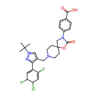 CC(C)(C)n1cc(CN2CCC3(CC2)CN(c2ccc(C(=O)O)cc2)C(=O)O3)c(C2=CC(F)C(Cl)C=C2F)n1